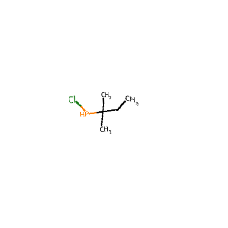 CCC(C)(C)PCl